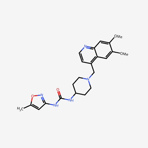 COc1cc2nccc(CN3CCC(NC(=O)Nc4cc(C)on4)CC3)c2cc1OC